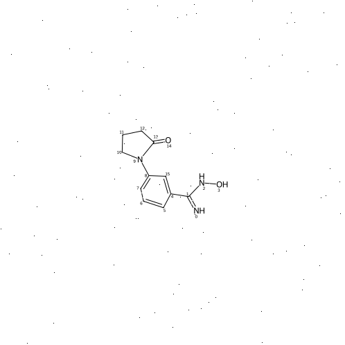 N=C(NO)c1cccc(N2CCCC2=O)c1